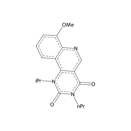 CCCn1c(=O)c2cnc3c(OC)cccc3c2n(C(C)C)c1=O